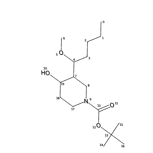 CCCCC(OC)C1CN(C(=O)OC(C)(C)C)CCC1O